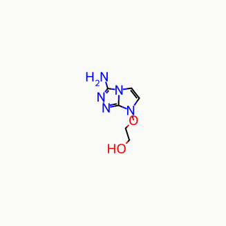 Nc1nnc2n(OCCO)ccn12